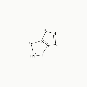 C1=NCC2=C1CNC2